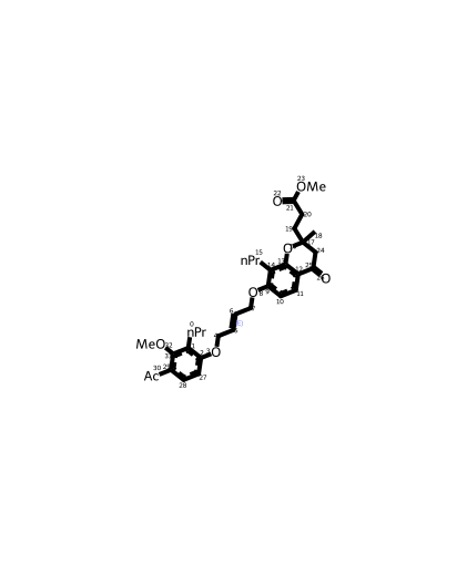 CCCc1c(OC/C=C/COc2ccc3c(c2CCC)OC(C)(CCC(=O)OC)CC3=O)ccc(C(C)=O)c1OC